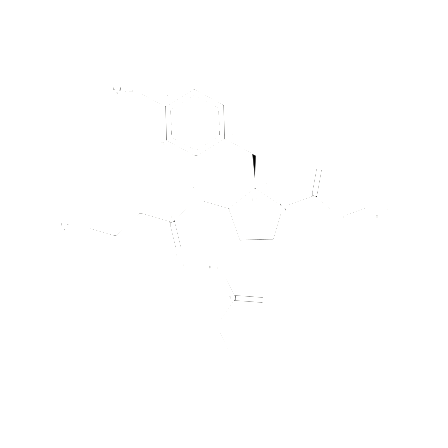 COCCC(=O)OC1[C@@H](OC(=O)OC(C)(C)C)CN(C(=O)OC(C)(C)C)[C@@H]1Cc1ccc(OC)cc1